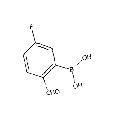 O=Cc1ccc(F)cc1B(O)O